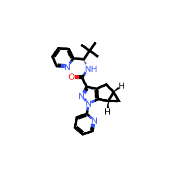 CC(C)(C)[C@H](NC(=O)c1nn(-c2ccccn2)c2c1C[C@@H]1C[C@H]21)c1ccccn1